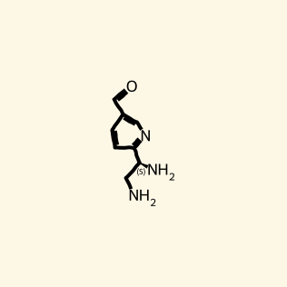 NC[C@H](N)c1ccc(C=O)cn1